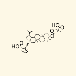 C=C(C)[C@@H]1CC[C@]2(C#Cc3sccc3C(=O)O)CC[C@]3(C)C(CCC4[C@@]5(C)CC[C@H](OC(=O)CC(C)(C)C(=O)O)C(C)(C)C5CC[C@]43C)C12